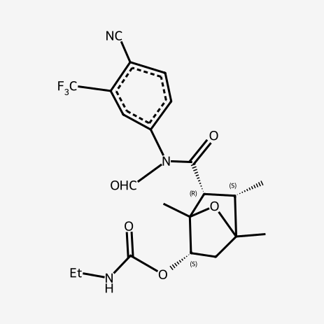 CCNC(=O)O[C@H]1CC2(C)OC1(C)[C@H](C(=O)N(C=O)c1ccc(C#N)c(C(F)(F)F)c1)[C@@H]2C